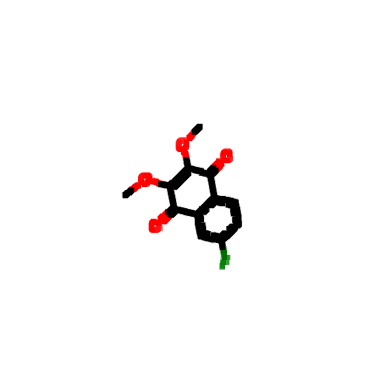 COC1=C(OC)C(=O)c2cc(F)ccc2C1=O